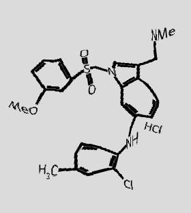 CNCc1cn(S(=O)(=O)c2cccc(OC)c2)c2cc(Nc3ccc(C)cc3Cl)ccc12.Cl